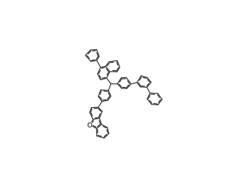 c1ccc(-c2cccc(-c3ccc(C(c4ccc(-c5ccc6oc7ccccc7c6c5)cc4)c4ccc(-c5ccccc5)c5ccccc45)cc3)c2)cc1